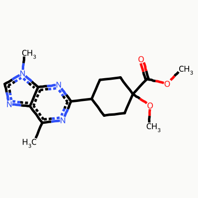 COC(=O)C1(OC)CCC(c2nc(C)c3ncn(C)c3n2)CC1